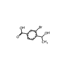 CC(O)c1ccc(C(=O)O)cc1Br